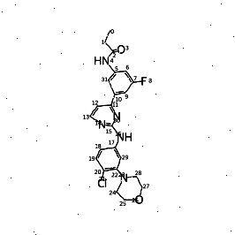 CCC(=O)Nc1cc(F)cc(-c2ccnc(Nc3ccc(Cl)c(N4CCOCC4)c3)n2)c1